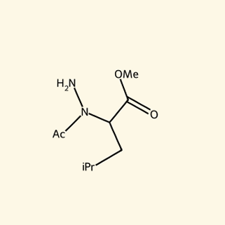 COC(=O)C(CC(C)C)N(N)C(C)=O